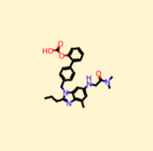 CCCc1nc2c(C)cc(NCC(=O)N(C)C)cc2n1Cc1ccc(-c2ccccc2OC(=O)O)cc1